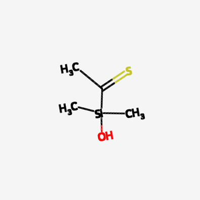 CC(=S)[Si](C)(C)O